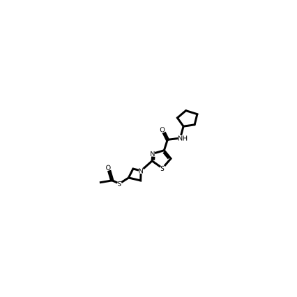 CC(=O)SC1CN(c2nc(C(=O)NC3CCCC3)cs2)C1